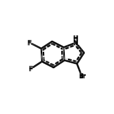 Fc1cc2[nH]cc(Br)c2cc1F